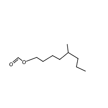 CCCC(C)CCCCOC=O